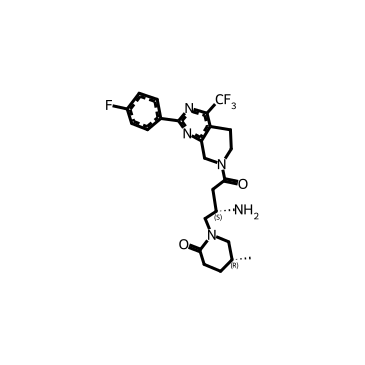 C[C@@H]1CCC(=O)N(C[C@@H](N)CC(=O)N2CCc3c(nc(-c4ccc(F)cc4)nc3C(F)(F)F)C2)C1